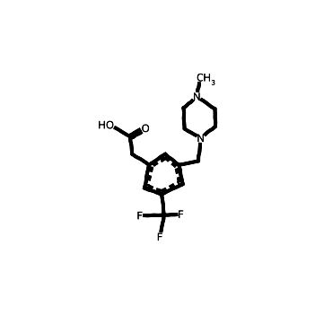 CN1CCN(Cc2cc(CC(=O)O)cc(C(F)(F)F)c2)CC1